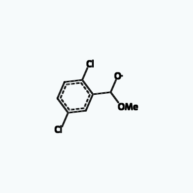 COC([O])c1cc(Cl)ccc1Cl